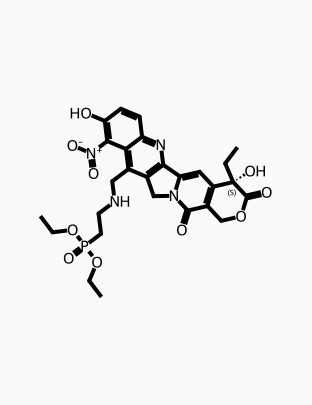 CCOP(=O)(CCNCc1c2c(nc3ccc(O)c([N+](=O)[O-])c13)-c1cc3c(c(=O)n1C2)COC(=O)[C@]3(O)CC)OCC